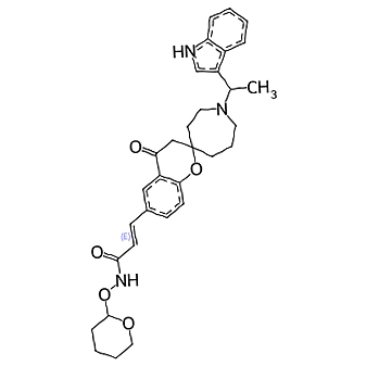 CC(c1c[nH]c2ccccc12)N1CCCC2(CC1)CC(=O)c1cc(/C=C/C(=O)NOC3CCCCO3)ccc1O2